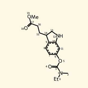 CCN(C)C(=O)Oc1ccc2c(c1)NCC2CCC(=O)OC